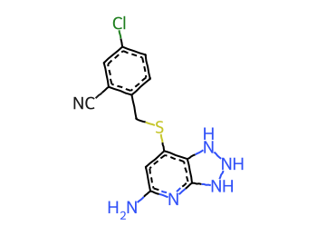 N#Cc1cc(Cl)ccc1CSc1cc(N)nc2c1NNN2